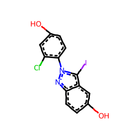 Oc1ccc(-n2nc3ccc(O)cc3c2I)c(Cl)c1